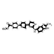 Cc1nc2cc(Nc3nccc(-c4ccc(N5CCN(C(=O)OC(C)(C)C)CC5)nc4)n3)ccc2[nH]1